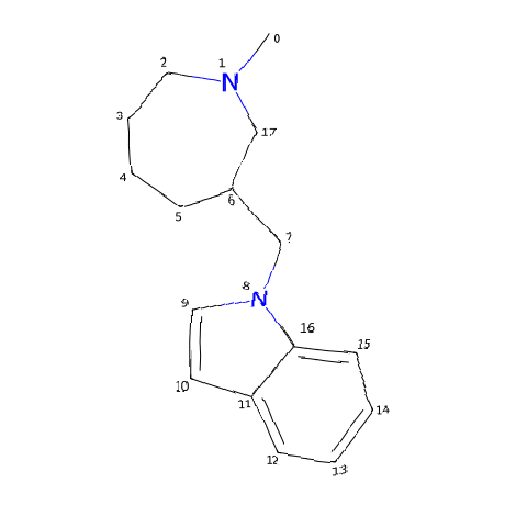 CN1CCCCC(Cn2ccc3ccccc32)C1